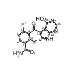 NC(=O)c1ccc(F)c(C(=O)c2c[nH]c3ncnc(O)c23)c1F